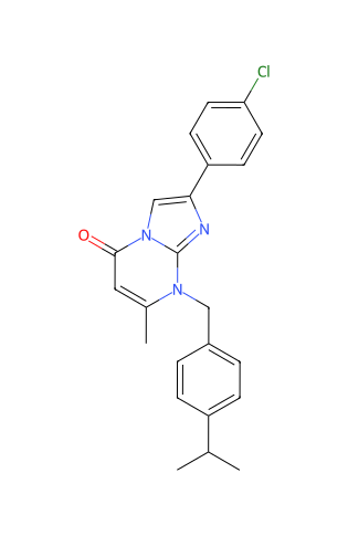 Cc1cc(=O)n2cc(-c3ccc(Cl)cc3)nc2n1Cc1ccc(C(C)C)cc1